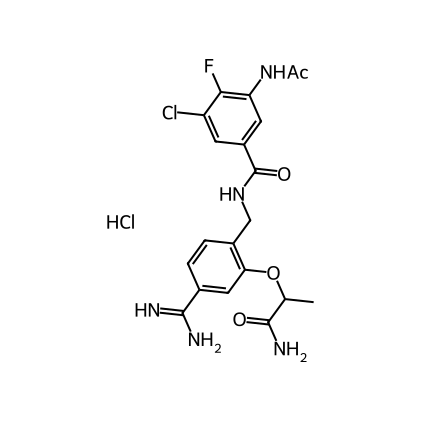 CC(=O)Nc1cc(C(=O)NCc2ccc(C(=N)N)cc2OC(C)C(N)=O)cc(Cl)c1F.Cl